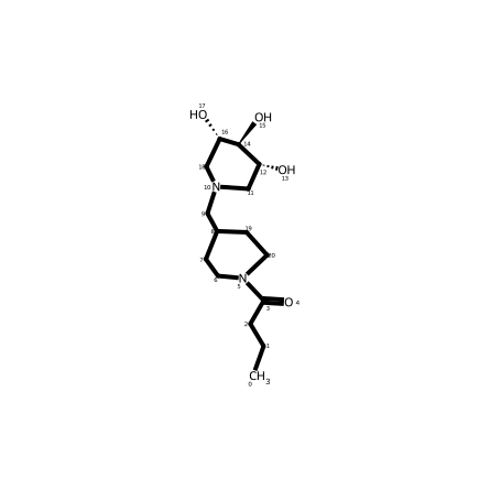 CCCC(=O)N1CCC(CN2C[C@@H](O)[C@H](O)[C@@H](O)C2)CC1